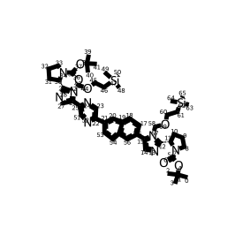 CC(C)(C)OC(=O)N1CCC[C@H]1c1ncc(-c2ccc3cc(-c4cnc(-c5cnc([C@@H]6CCCN6C(=O)OC(C)(C)C)n5COCC[Si](C)(C)C)cn4)ccc3c2)n1COCC[Si](C)(C)C